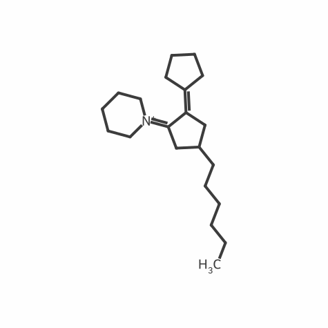 CCCCCCC1CC(=C2CCCC2)C(=[N+]2CCCCC2)C1